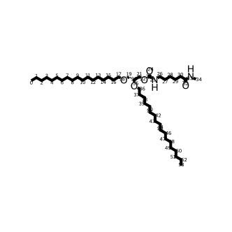 CCCCCCCCCCCCCCCCCCOC[C@H](COC(=O)NCCCCCC(=O)NC)OCCCCCCCCCCCCCCCCCC